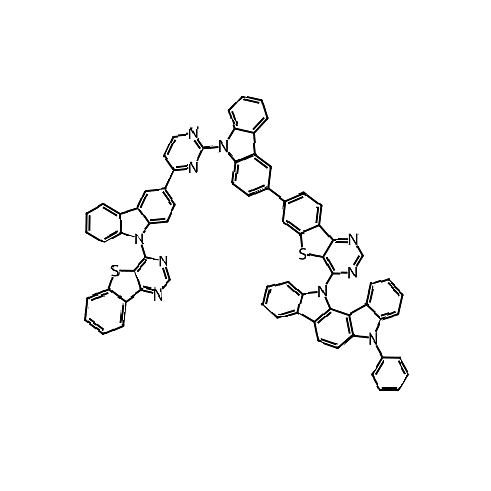 c1ccc(-n2c3ccccc3c3c2ccc2c4ccccc4n(-c4ncnc5c4sc4cc(-c6ccc7c(c6)c6ccccc6n7-c6nccc(-c7ccc8c(c7)c7ccccc7n8-c7ncnc8c7sc7ccccc78)n6)ccc45)c23)cc1